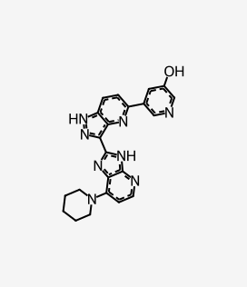 Oc1cncc(-c2ccc3[nH]nc(-c4nc5c(N6CCCCC6)ccnc5[nH]4)c3n2)c1